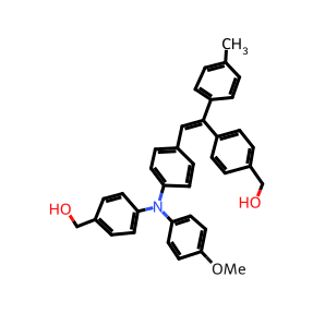 COc1ccc(N(c2ccc(C=C(c3ccc(C)cc3)c3ccc(CO)cc3)cc2)c2ccc(CO)cc2)cc1